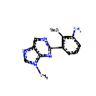 COc1c(N)cccc1-c1ncc2ncn(C)c2n1